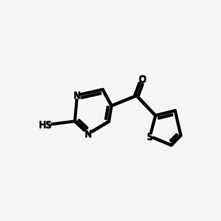 O=C(c1cnc(S)nc1)c1cccs1